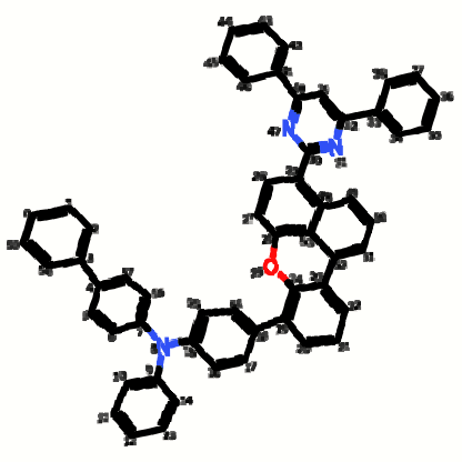 c1ccc(-c2ccc(N(c3ccccc3)c3ccc(-c4cccc5c4Oc4ccc(-c6nc(-c7ccccc7)cc(-c7ccccc7)n6)c6cccc-5c46)cc3)cc2)cc1